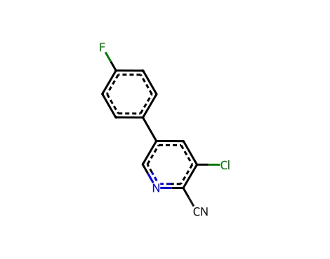 N#Cc1ncc(-c2ccc(F)cc2)cc1Cl